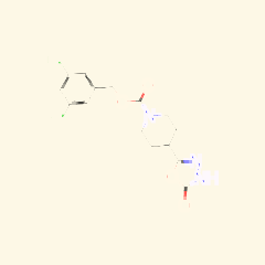 O=C(OCc1cc(Cl)cc(Cl)c1)N1CCC(c2n[nH]c(=O)o2)CC1